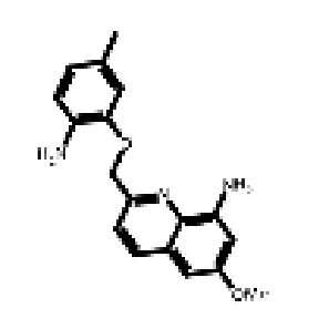 COc1cc(N)c2nc(COc3cc(C)ccc3N)ccc2c1